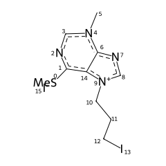 CSc1ncn(C)c2nc[n+](CCCI)c1-2.[I-]